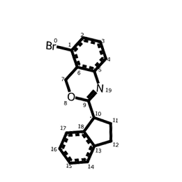 Brc1cccc2c1COC([C]1CCc3ccccc31)=N2